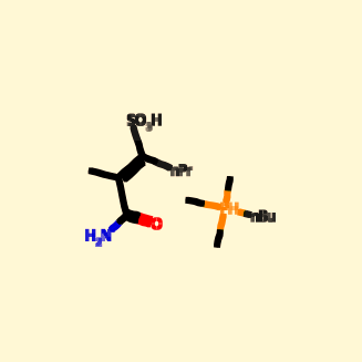 CCC/C(=C(/C)C(N)=O)S(=O)(=O)O.CCCC[PH](C)(C)C